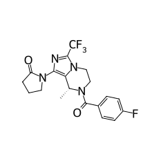 C[C@@H]1c2c(N3CCCC3=O)nc(C(F)(F)F)n2CCN1C(=O)c1ccc(F)cc1